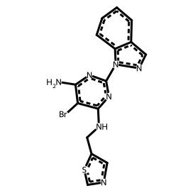 Nc1nc(-n2ncc3ccccc32)nc(NCc2cncs2)c1Br